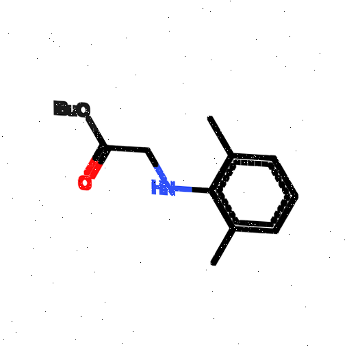 Cc1cccc(C)c1NCC(=O)OCC(C)C